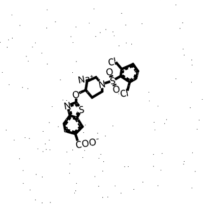 O=C([O-])c1ccc2nc(OC3CCN(S(=O)(=O)c4c(Cl)cccc4Cl)CC3)sc2c1.[Na+]